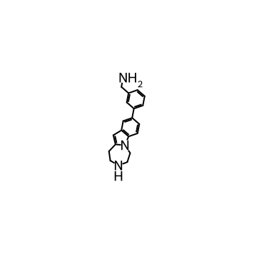 NCc1cccc(-c2ccc3c(c2)cc2n3CCNCC2)c1